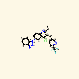 CCc1nc2ccc(-n3nnc4ccccc43)cc2c(Cl)c1Cc1ccc(C(F)(F)F)nc1